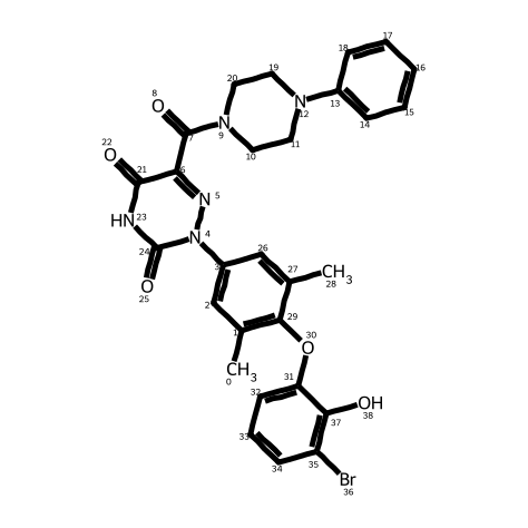 Cc1cc(-n2nc(C(=O)N3CCN(c4ccccc4)CC3)c(=O)[nH]c2=O)cc(C)c1Oc1cccc(Br)c1O